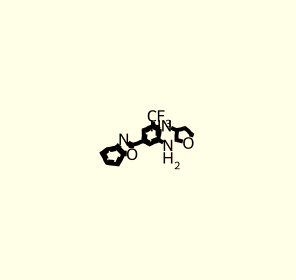 Nc1cc(-c2nc3ccccc3o2)cc(C(F)(F)F)c1NC1CCOC1